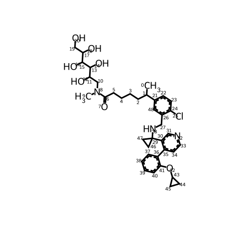 CC(CCCCC(=O)N(C)CC(O)C(O)C(O)C(O)CO)c1ccc(Cl)c(CNC2(c3cnccc3-c3ccccc3OC3CC3)CC2)c1